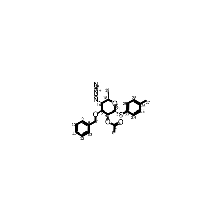 CC(=O)O[C@H]1[C@@H](OCc2ccccc2)[C@H](N=[N+]=[N-])[C@@H](C)O[C@@H]1Sc1ccc(C)cc1